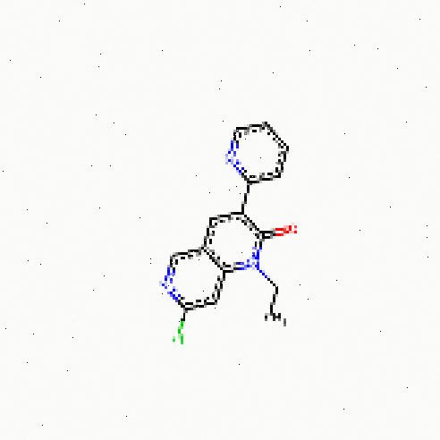 CCn1c(=O)c(-c2ccccn2)cc2cnc(Cl)cc21